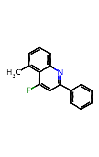 Cc1cccc2nc(-c3ccccc3)cc(F)c12